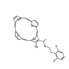 [2H]C1=C(C(C)OCCc2c(F)cccc2F)C2=CC3=NC(=CC4=NC(=CC5=NC(=CC1=N2)C=C5)C=C4)C=C3